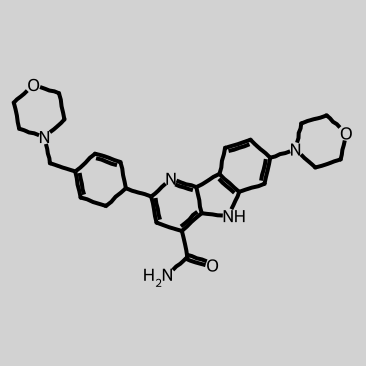 NC(=O)c1cc(C2C=CC(CN3CCOCC3)=CC2)nc2c1[nH]c1cc(N3CCOCC3)ccc12